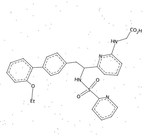 CCOc1ccccc1-c1ccc(CC(NS(=O)(=O)c2ccccn2)c2cccc(NCC(=O)O)n2)cc1